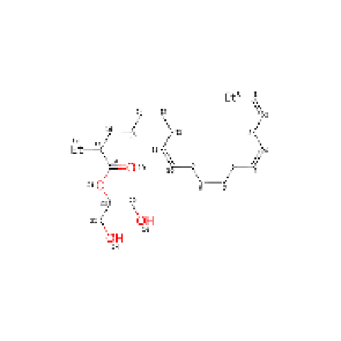 CC/C=C\C/C=C\C/C=C\C/C=C\C/C=C\CCC(CC)C(=O)OC(CO)CO